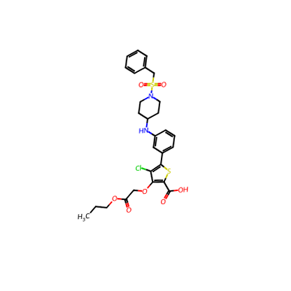 CCCOC(=O)COc1c(C(=O)O)sc(-c2cccc(NC3CCN(S(=O)(=O)Cc4ccccc4)CC3)c2)c1Cl